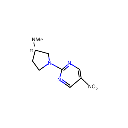 CN[C@H]1CCN(c2ncc([N+](=O)[O-])cn2)C1